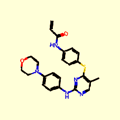 C=CC(=O)Nc1ccc(Sc2nc(Nc3ccc(N4CCOCC4)cc3)ncc2C)cc1